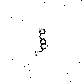 ONCC1=Cc2cc(Cc3cccnc3)ccc2OC1